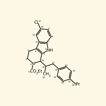 CCOC(=O)N1CCc2c([nH]c3ccc(Cl)cc23)C1C(C)Cc1ccc(C(C)C)cc1